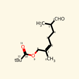 CC(=CCCC(C)C=O)COC(=O)C(C)(C)C